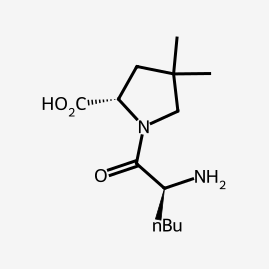 CCCC[C@H](N)C(=O)N1CC(C)(C)C[C@H]1C(=O)O